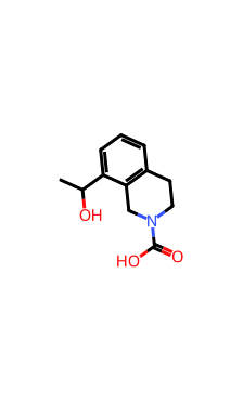 CC(O)c1cccc2c1CN(C(=O)O)CC2